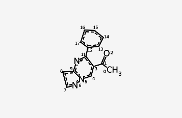 CC(=O)c1cn2nccc2nc1-c1ccccc1